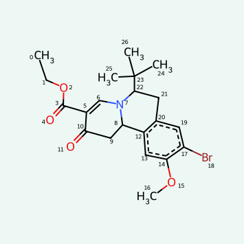 CCOC(=O)C1=CN2C(CC1=O)c1cc(OC)c(Br)cc1CC2C(C)(C)C